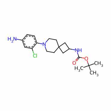 CC(C)(C)OC(=O)NC1CC2(CCN(c3ccc(N)cc3Cl)CC2)C1